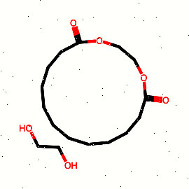 O=C1CCCCCCCCCCC(=O)OCCO1.OCCO